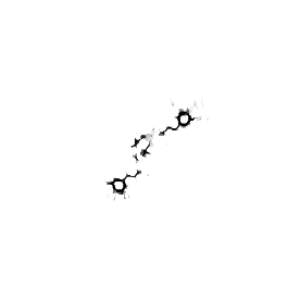 CC(C)(C)c1cc(CCC(=O)OCCN2C(C)(C)CN(OC(=O)CCc3cc(C(C)(C)C)c(O)c(C(C)(C)C)c3)CC2(C)C)cc(C(C)(C)C)c1O